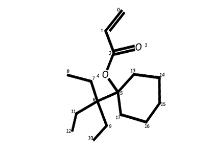 C=CC(=O)OC1(C(CC)(CC)CC)CCCCC1